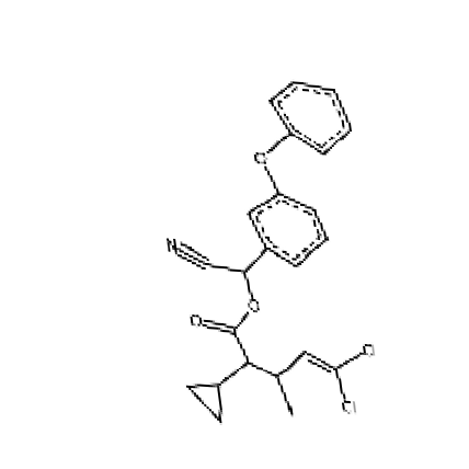 CC(C=C(Cl)Cl)C(C(=O)OC(C#N)c1cccc(Oc2ccccc2)c1)C1CC1